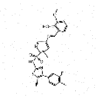 COc1cccc(C=Nc2cnc(S(=O)(=O)Nc3nc(-c4ccc(F)c(F)c4)c(F)s3)c(C)c2)c1O